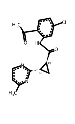 CC(=O)c1ccc(Cl)cc1NC(=O)[C@H]1C[C@@H]1c1nccc(C)n1